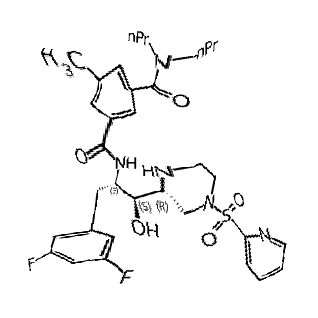 CCCN(CCC)C(=O)c1cc(C)cc(C(=O)N[C@@H](Cc2cc(F)cc(F)c2)[C@H](O)[C@H]2CN(S(=O)(=O)c3ccccn3)CCN2)c1